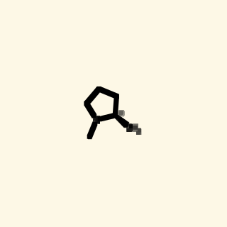 B[C@@H]1CCCN1C